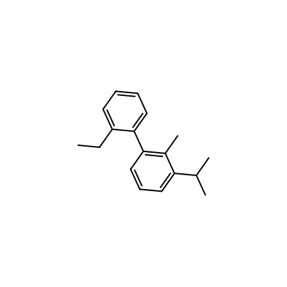 CCc1ccccc1-c1cccc(C(C)C)c1C